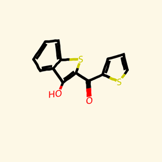 O=C(c1cccs1)c1sc2ccccc2c1O